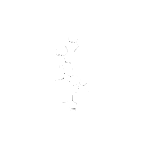 Cn1nnnc1SCC1(C(=O)O)CS[C@@H]2C(NC(=O)C(=NO)c3ccc(O)c(Cl)c3)C(=O)N2C1